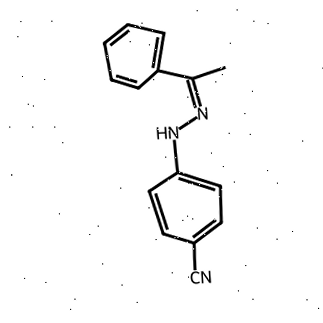 CC(=NNc1ccc(C#N)cc1)c1ccccc1